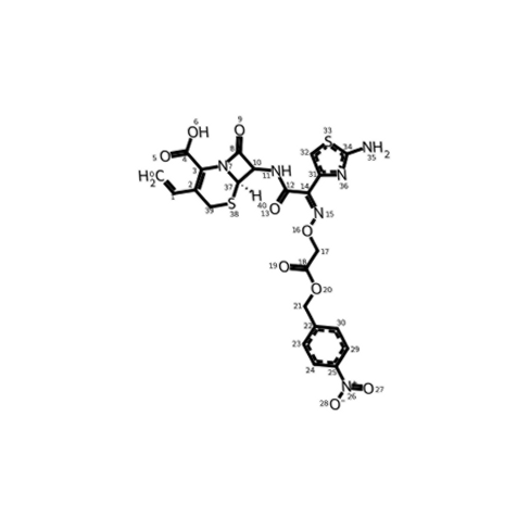 C=CC1=C(C(=O)O)N2C(=O)C(NC(=O)/C(=N\OCC(=O)OCc3ccc([N+](=O)[O-])cc3)c3csc(N)n3)[C@H]2SC1